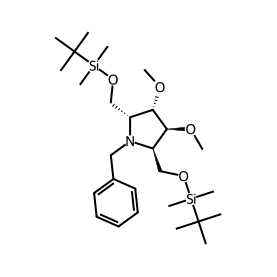 CO[C@@H]1[C@@H](OC)[C@@H](CO[Si](C)(C)C(C)(C)C)N(Cc2ccccc2)[C@@H]1CO[Si](C)(C)C(C)(C)C